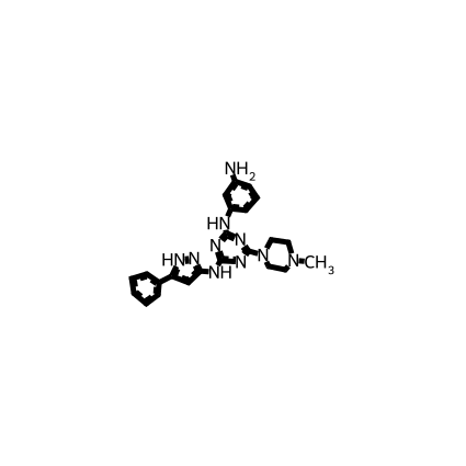 CN1CCN(c2nc(Nc3cccc(N)c3)nc(Nc3cc(-c4ccccc4)[nH]n3)n2)CC1